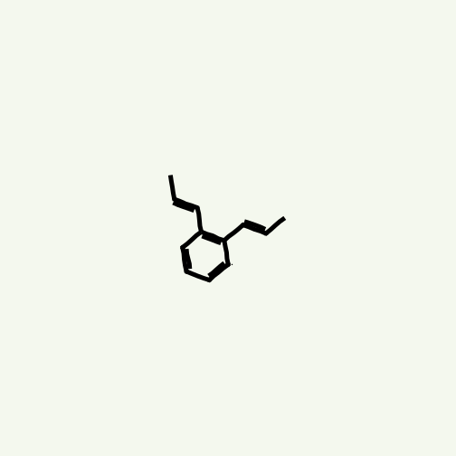 CC=Cc1[c]cccc1C=CC